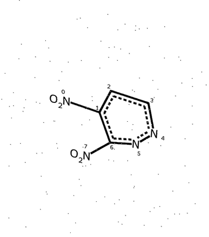 O=[N+]([O-])c1ccnnc1[N+](=O)[O-]